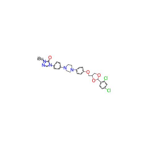 CCC(C)n1ncn(-c2ccc(N3CCN(c4ccc(OCC5COC(c6ccc(Cl)cc6Cl)O5)cc4)CC3)cc2)c1=O